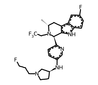 C[C@@H]1Cc2c([nH]c3ccc(F)cc23)[C@@H](c2ccc(N[C@H]3CCN(CCCF)C3)cn2)N1CC(F)(F)F